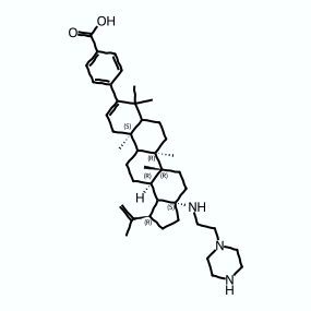 C=C(C)[C@@H]1CC[C@]2(NCCN3CCNCC3)CC[C@]3(C)[C@H](CCC4[C@@]5(C)CC=C(c6ccc(C(=O)O)cc6)C(C)(C)C5CC[C@]43C)C12